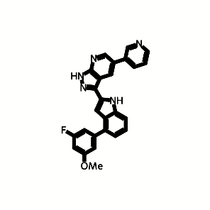 COc1cc(F)cc(-c2cccc3[nH]c(-c4n[nH]c5ncc(-c6cccnc6)cc45)cc23)c1